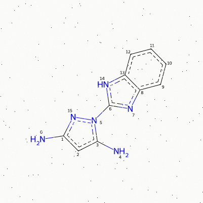 Nc1cc(N)n(-c2nc3ccccc3[nH]2)n1